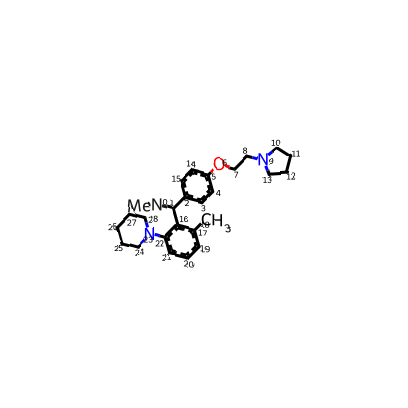 CNC(c1ccc(OCCN2CCCC2)cc1)c1c(C)cccc1N1CCCCC1